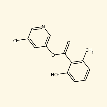 Cc1cccc(O)c1C(=O)Oc1cncc(Cl)c1